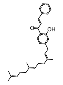 CC(C)=CCC/C(C)=C/CC/C(C)=C/Cc1ccc(C(=O)/C=C/c2ccccc2)c(O)c1